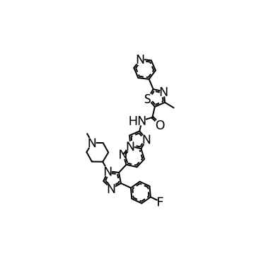 Cc1nc(-c2ccncc2)sc1C(=O)Nc1cn2nc(-c3c(-c4ccc(F)cc4)ncn3C3CCN(C)CC3)ccc2n1